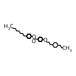 CCCCCCCCc1ccc(OC(=O)c2ccc(OCCCC3CCC(CCC)CC3)cc2)cc1